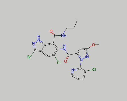 CCCNC(=O)c1c(NC(=O)c2cc(OC)nn2-c2ncccc2Cl)c(Cl)cc2c(Br)n[nH]c12